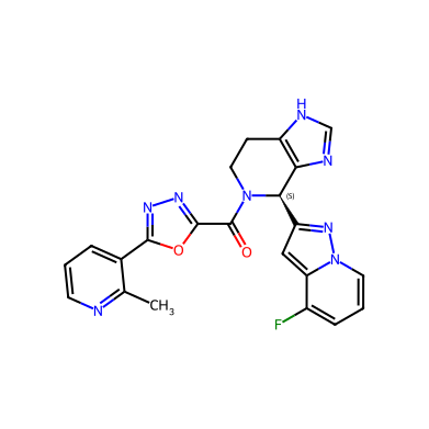 Cc1ncccc1-c1nnc(C(=O)N2CCc3[nH]cnc3[C@H]2c2cc3c(F)cccn3n2)o1